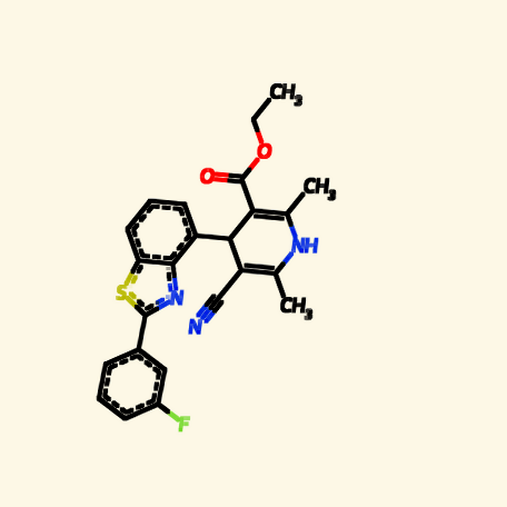 CCOC(=O)C1=C(C)NC(C)=C(C#N)C1c1cccc2sc(-c3cccc(F)c3)nc12